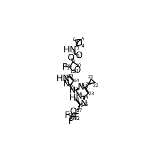 O=C(NC12CC(C1)C2)O[C@@H]1CO[C@H](c2cc(Nc3nc(C4CC4)cc4nc(COC(F)(F)F)cn34)n[nH]2)[C@@H]1F